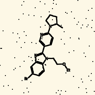 CCOCCn1c(-c2ccc(N3CCCC3C)nc2)nc2cc(Br)ccc21